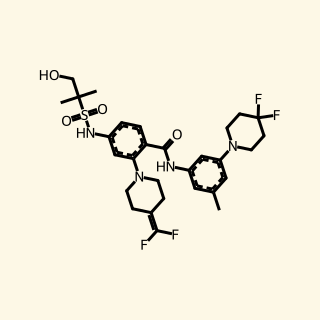 Cc1cc(NC(=O)c2ccc(NS(=O)(=O)C(C)(C)CO)cc2N2CCC(=C(F)F)CC2)cc(N2CCC(F)(F)CC2)c1